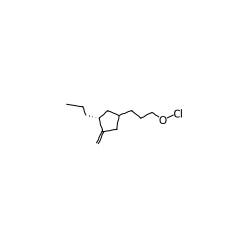 C=C1CC(CCCOCl)C[C@H]1CCC